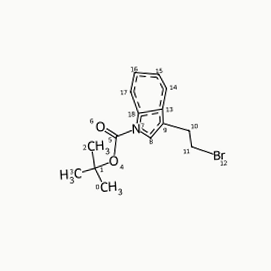 CC(C)(C)OC(=O)n1cc(CCBr)c2ccccc21